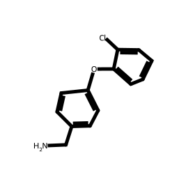 NCc1ccc(Oc2ccccc2Cl)cc1